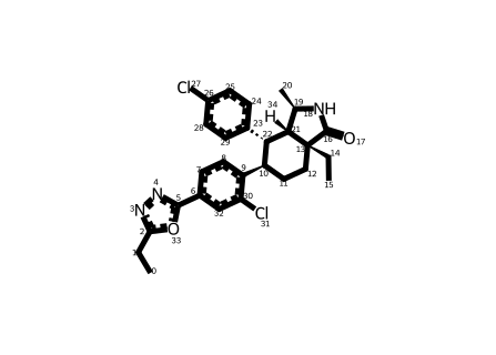 CCc1nnc(-c2ccc([C@@H]3CC[C@@]4(CC)C(=O)N[C@H](C)[C@H]4[C@H]3c3ccc(Cl)cc3)c(Cl)c2)o1